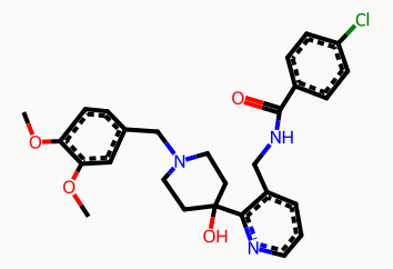 COc1ccc(CN2CCC(O)(c3ncccc3CNC(=O)c3ccc(Cl)cc3)CC2)cc1OC